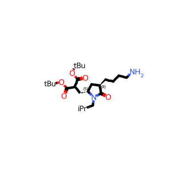 CC(C)CN1C(=O)[C@H](CCCCN)C[C@H]1CC(C(=O)OC(C)(C)C)C(=O)OC(C)(C)C